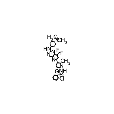 Cc1nc(NS(=O)(=O)c2ccccc2Cl)ccc1-c1cc(C(F)F)c2nc(N[C@H]3CC[C@H](N(C)C)CC3)ncc2n1